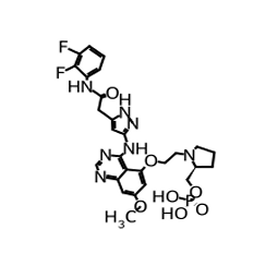 COc1cc(OCCN2CCC[C@H]2COP(=O)(O)O)c2c(Nc3cc(CC(=O)Nc4cccc(F)c4F)[nH]n3)ncnc2c1